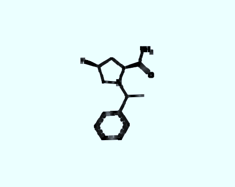 CC(c1ccccc1)N1C[C@@H](F)C[C@H]1C(N)=O